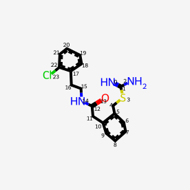 N=C(N)SCc1ccccc1CC(=O)NCCc1ccccc1Cl